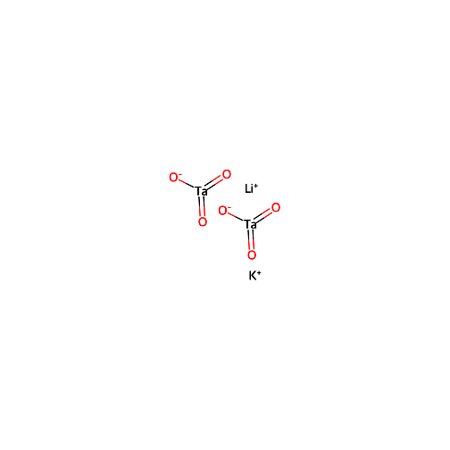 [K+].[Li+].[O]=[Ta](=[O])[O-].[O]=[Ta](=[O])[O-]